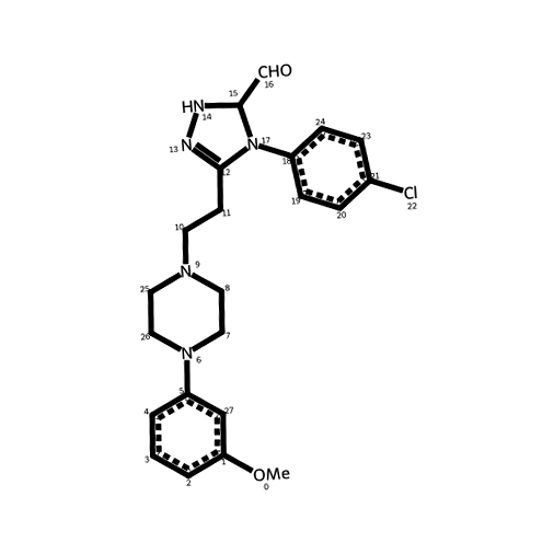 COc1cccc(N2CCN(CCC3=NNC(C=O)N3c3ccc(Cl)cc3)CC2)c1